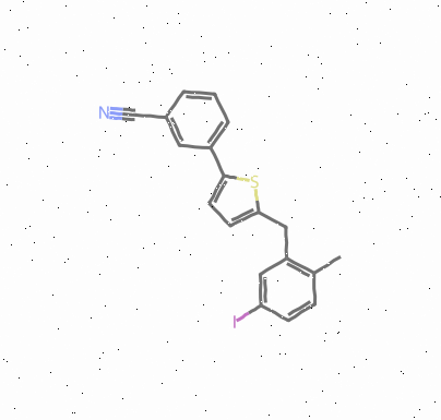 Cc1ccc(I)cc1Cc1ccc(-c2cccc(C#N)c2)s1